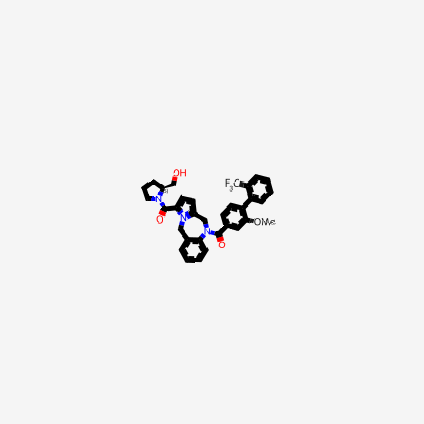 COc1cc(C(=O)N2Cc3ccc(C(=O)N4CCC[C@H]4CO)n3Cc3ccccc32)ccc1-c1ccccc1C(F)(F)F